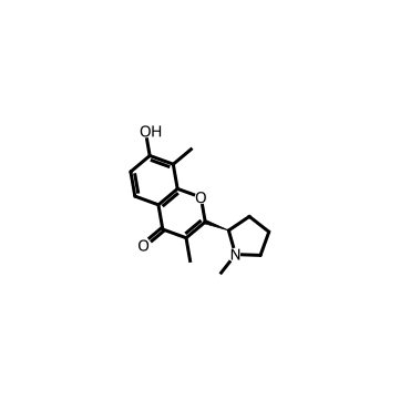 Cc1c([C@H]2CCCN2C)oc2c(C)c(O)ccc2c1=O